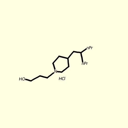 CCCC(CCC)CC1CCN(CCCO)CC1.Cl